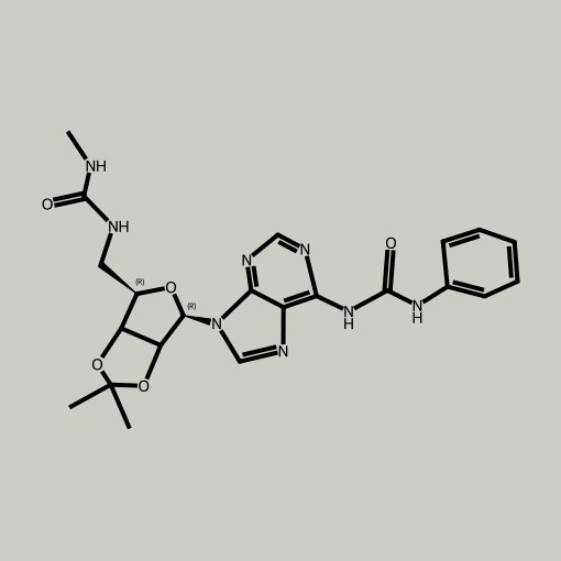 CNC(=O)NC[C@H]1O[C@@H](n2cnc3c(NC(=O)Nc4ccccc4)ncnc32)C2OC(C)(C)OC21